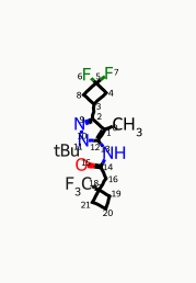 Cc1c(C2CC(F)(F)C2)nn(C(C)(C)C)c1NC(=O)CC1(C(F)(F)F)CCC1